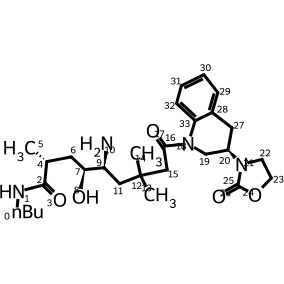 CCCCNC(=O)[C@H](C)C[C@H](O)[C@@H](N)CC(C)(C)CC(=O)N1C[C@H](N2CCOC2=O)Cc2ccccc21